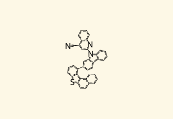 N#Cc1cc(-n2c3ccccc3c3ccc(-c4cccc5sc6ccc7ccccc7c6c45)cc32)nc2ccccc12